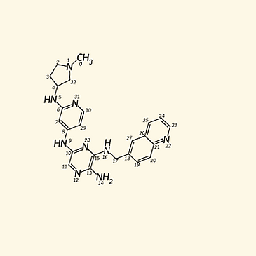 CN1CCC(Nc2cc(Nc3cnc(N)c(NCc4ccc5ncccc5c4)n3)ccn2)C1